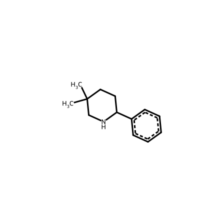 CC1(C)CCC(c2ccccc2)NC1